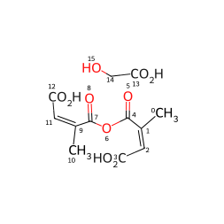 C/C(=C/C(=O)O)C(=O)OC(=O)/C(C)=C\C(=O)O.O=C(O)CO